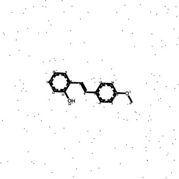 COc1ccc(C=Cc2ccccc2O)cc1